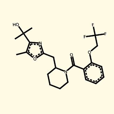 Cc1oc(CC2CCCCN2C(=O)c2ccccc2OCC(F)(F)F)nc1C(C)(C)O